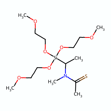 COCCO[Si](OCCOC)(OCCOC)C(C)N(C)C(C)=S